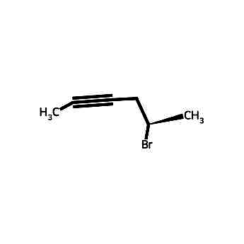 CC#CC[C@@H](C)Br